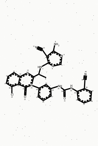 CC(Nc1ncnc(N)c1C#N)c1nc2cccc(Cl)c2c(=O)n1-c1cccc(NC(=O)Nc2ccccc2C#N)c1